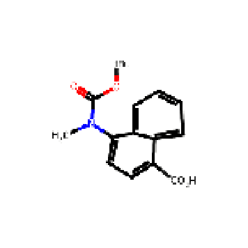 CN(C(=O)OC(C)(C)C)c1ccc(C(=O)O)c2ccccc12